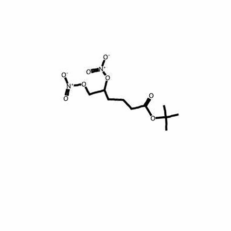 CC(C)(C)OC(=O)CCCC(CO[N+](=O)[O-])O[N+](=O)[O-]